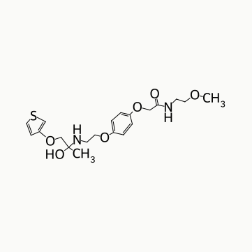 COCCNC(=O)COc1ccc(OCCNC(C)(O)COc2ccsc2)cc1